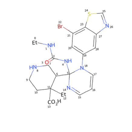 CCNC(=O)NC1(C2CNCCC2(CC)C(=O)O)N=CC=CN1c1cc(Br)c2scnc2c1